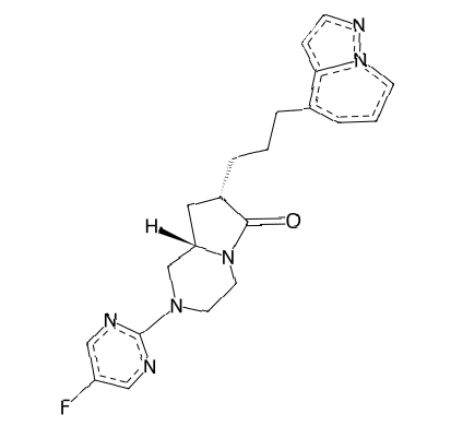 O=C1[C@@H](CCCc2cccn3nccc23)C[C@H]2CN(c3ncc(F)cn3)CCN12